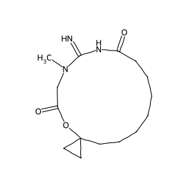 CN1CC(=O)OC2(CCCCCCCC(=O)NC1=N)CC2